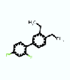 CCc1ccc(-c2[c]cc(F)cc2F)cc1CC